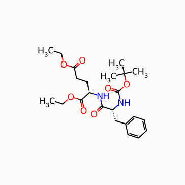 CCOC(=O)CC[C@@H](NC(=O)[C@@H](Cc1ccccc1)NC(=O)OC(C)(C)C)C(=O)OCC